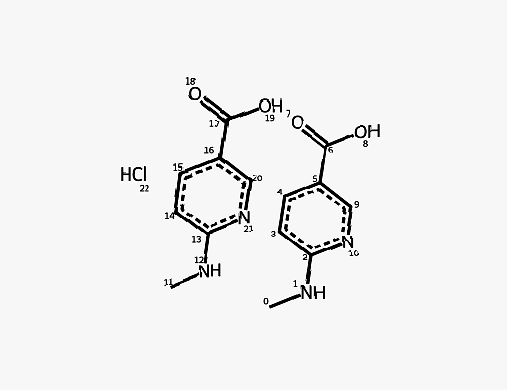 CNc1ccc(C(=O)O)cn1.CNc1ccc(C(=O)O)cn1.Cl